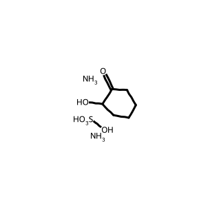 N.N.O=C1CCCCC1O.O=S(=O)(O)O